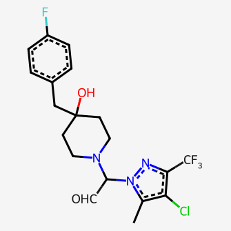 Cc1c(Cl)c(C(F)(F)F)nn1C(C=O)N1CCC(O)(Cc2ccc(F)cc2)CC1